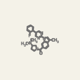 Cc1cn(-c2ncc(-c3ccccc3F)cn2)c2cc(C(=O)N3CCC(N(C)C)C3)ccc12